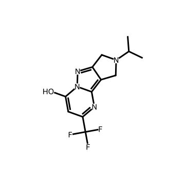 CC(C)N1Cc2nn3c(O)cc(C(F)(F)F)nc3c2C1